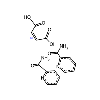 NC(=O)c1ccccn1.NC(=O)c1ccccn1.O=C(O)/C=C\C(=O)O